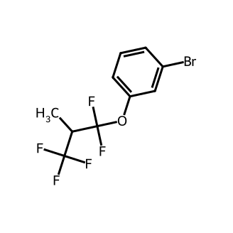 CC(C(F)(F)F)C(F)(F)Oc1cccc(Br)c1